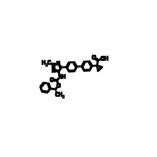 C[C@@H](OC(=O)Nc1nn(C)nc1-c1ccc(-c2ccc(C3(C(=O)O)CC3)cc2)cc1)c1ccccc1